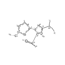 COc1cccc(-c2nc(C(C)C)oc2C(C)=O)c1